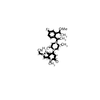 COC(C)c1cc(F)ccc1C(C)N1C[C@H](C)N(c2cc(=O)n(C)c3cn(CC#N)nc23)C[C@H]1C